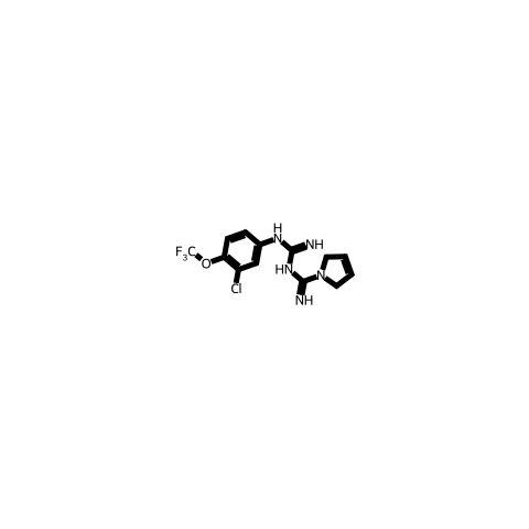 N=C(NC(=N)N1CC=CC1)Nc1ccc(OC(F)(F)F)c(Cl)c1